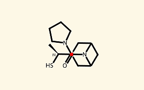 C[C@H](S)N1CC2CC(C1)N2C(=O)N1CCCC1